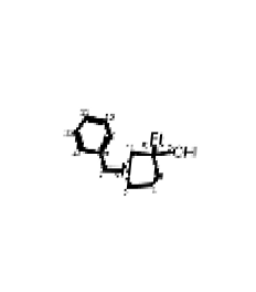 CCC1(O)CCCN(Cc2ccccc2)C1